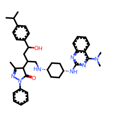 CC1=NN(c2ccccc2)C(=O)C1C(CN[C@H]1CC[C@@H](Nc2nc(N(C)C)c3ccccc3n2)CC1)CC(O)c1ccc(C(C)C)cc1